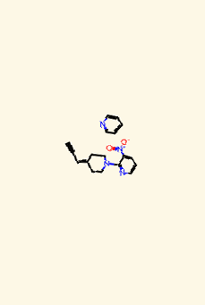 C#CC=C1CCN(c2ncccc2[N+](=O)[O-])CC1.c1ccncc1